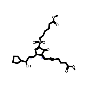 COC(=O)CCCC#C/C=C1\C(=O)C(S(=O)(=O)CCCCCC(=O)OC)=CC1/C=C/C(O)C1CCCC1